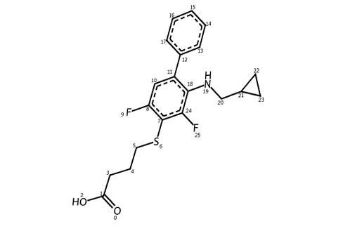 O=C(O)CCCSc1c(F)cc(-c2ccccc2)c(NCC2CC2)c1F